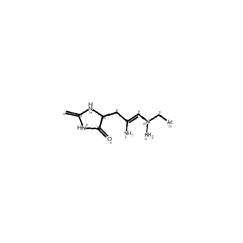 C=C1NC(=O)C(C/C(N)=C/N(N)CC(C)=O)N1